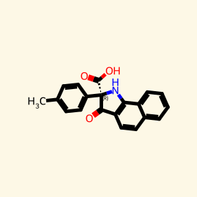 Cc1ccc([C@@]2(C(=O)O)Nc3c(ccc4ccccc34)C2=O)cc1